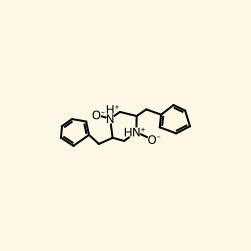 [O-][NH+]1CC(Cc2ccccc2)[NH+]([O-])CC1Cc1ccccc1